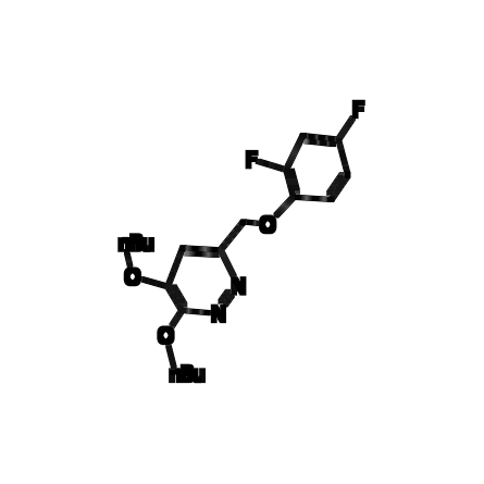 CCCCOc1cc(COc2ccc(F)cc2F)nnc1OCCCC